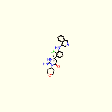 C[C@@]1(c2cccc(Nc3cncc4ccccc34)c2Cl)CC(=O)N(C2CCOCC2)C(=N)N1